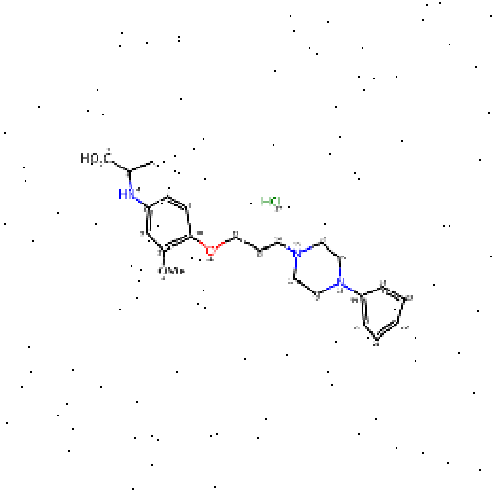 COc1cc(NC(C)C(=O)O)ccc1OCCCN1CCN(c2ccccc2)CC1.Cl